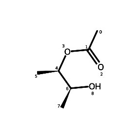 CC(=O)O[C@H](C)[C@H](C)O